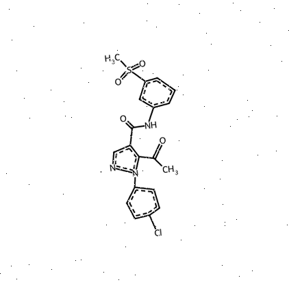 CC(=O)c1c(C(=O)Nc2cccc(S(C)(=O)=O)c2)cnn1-c1ccc(Cl)cc1